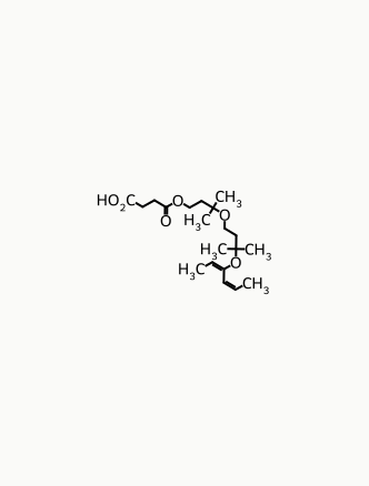 C/C=C\C(=C/C)OC(C)(C)CCOC(C)(C)CCOC(=O)CCC(=O)O